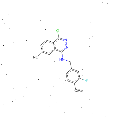 COc1ccc(CNc2nnc(Cl)c3ccc(C#N)cc23)cc1F